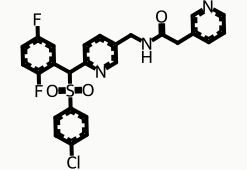 O=C(Cc1cccnc1)NCc1ccc(C(c2cc(F)ccc2F)S(=O)(=O)c2ccc(Cl)cc2)nc1